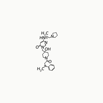 C[C@H](CN1CCCC1)Nc1cc(=O)n(CC2(O)CCN(C(=O)C[C@@H](C)c3ccccc3)CC2)cn1